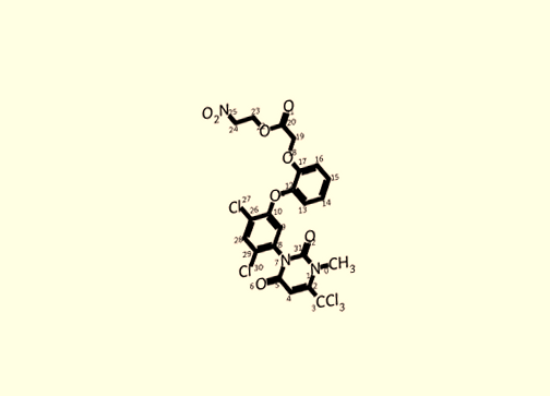 Cn1c(C(Cl)(Cl)Cl)cc(=O)n(-c2cc(Oc3ccccc3OCC(=O)OCC[N+](=O)[O-])c(Cl)cc2Cl)c1=O